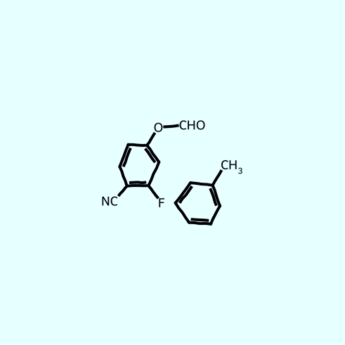 Cc1ccccc1.N#Cc1ccc(OC=O)cc1F